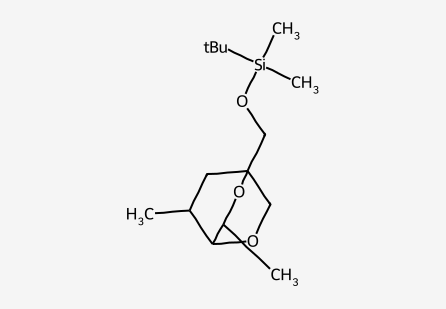 CC1CC2(CO[Si](C)(C)C(C)(C)C)COC1C(C)O2